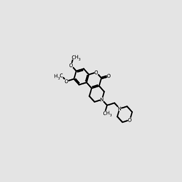 COc1cc2oc(=O)c3c(c2cc1OC)CCN(C(C)CN1CCOCC1)C3